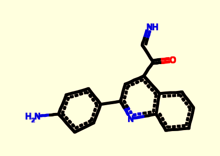 N=CC(=O)c1cc(-c2ccc(N)cc2)nc2ccccc12